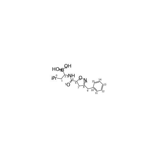 CC(C)CC(NC(=O)C1CC(Cc2ccccc2)=NO1)B(O)O